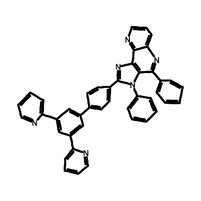 c1ccc(-c2nc3cccnc3c3nc(-c4ccc(-c5cc(-c6ccccn6)cc(-c6ccccn6)c5)cc4)n(-c4ccccc4)c23)cc1